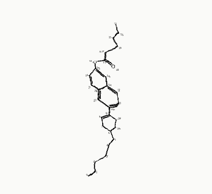 CCCCCCC1CC=C(c2ccc3cc(OC(=O)CCCCC)ccc3c2)CC1